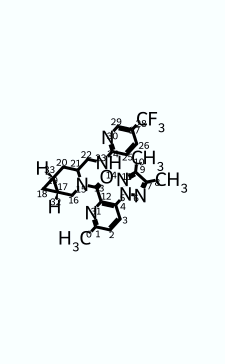 Cc1ccc(-n2nc(C)c(C)n2)c(C(=O)N2C[C@@H]3C[C@@H]3CC2CNc2ccc(C(F)(F)F)cn2)n1